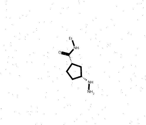 CCNC(=O)[C@H]1CC[C@@H](NN)C1